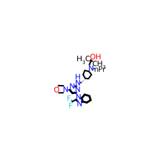 CCCN(CC(C)(C)O)[C@H]1CC[C@H](CNc2nc(N3CCOCC3)cc(-n3c(C(F)F)nc4ccccc43)n2)CC1